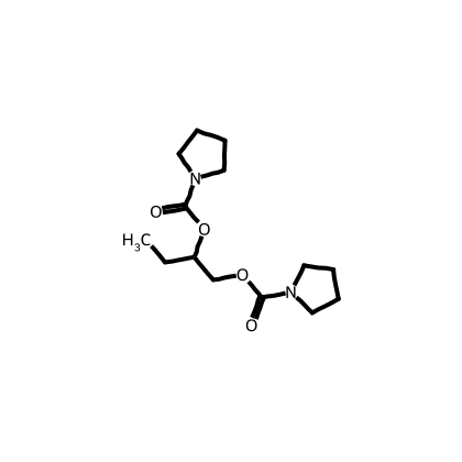 CCC(COC(=O)N1CCCC1)OC(=O)N1CCCC1